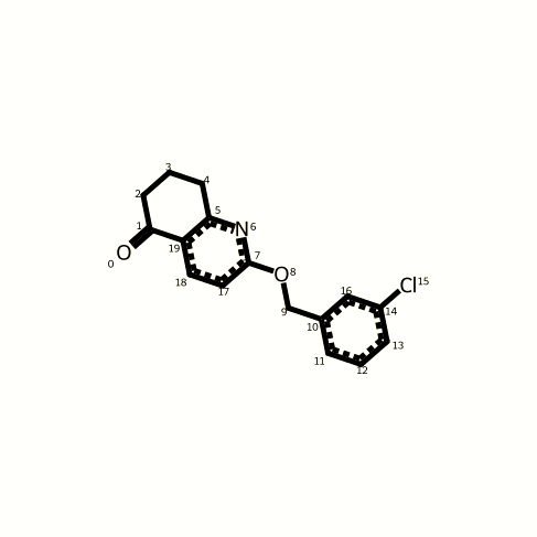 O=C1CCCc2nc(OCc3cccc(Cl)c3)ccc21